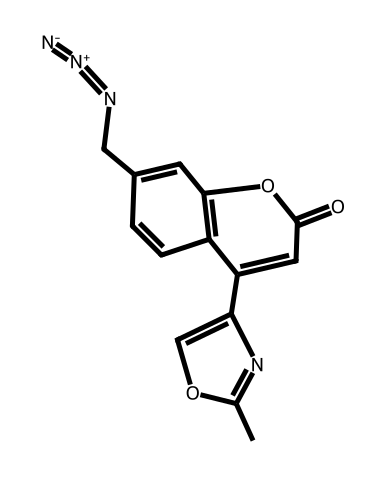 Cc1nc(-c2cc(=O)oc3cc(CN=[N+]=[N-])ccc23)co1